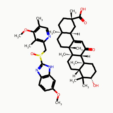 CC1(C)[C@@H](O)CC[C@]2(C)[C@H]3C(=O)C=C4[C@@H]5C[C@@](C)(C(=O)O)CC[C@]5(C)CC[C@@]4(C)[C@]3(C)CC[C@@H]12.COc1ccc2nc([S+]([O-])Cc3ncc(C)c(OC)c3C)[nH]c2c1